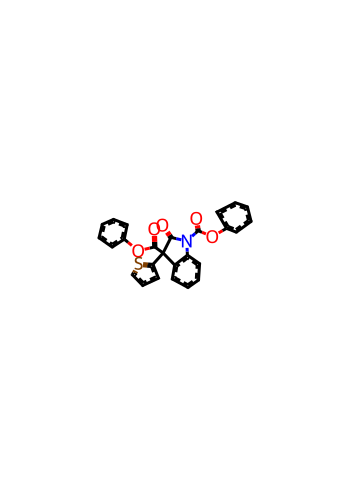 O=C(Oc1ccccc1)N1C(=O)C(C(=O)Oc2ccccc2)(c2cccs2)c2ccccc21